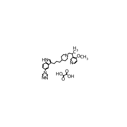 COc1ccncc1C(C)CN1CCC(CCCc2c[nH]c3ccc(-n4cnnc4)cc23)CC1.O=C(O)C(=O)O